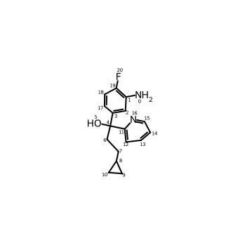 Nc1cc(C(O)(CCC2CC2)c2ccccn2)ccc1F